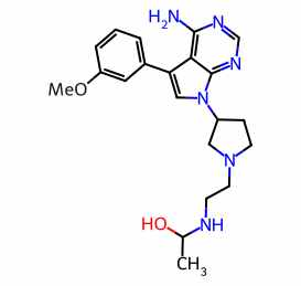 COc1cccc(-c2cn(C3CCN(CCNC(C)O)C3)c3ncnc(N)c23)c1